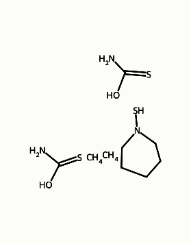 C.C.NC(O)=S.NC(O)=S.SN1CCCCC1